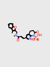 Cc1c(CN(C)C(=O)C=Cc2cnc3c(c2)CCC(=O)N3P(=O)(O)O)oc2ccccc12